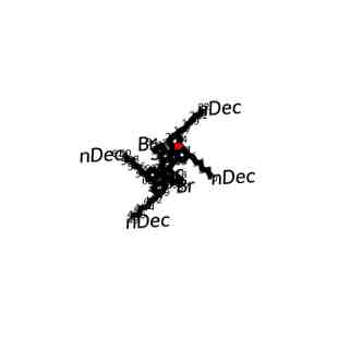 CCCCCCCCCCCCCCCCc1ccc(C2(c3ccc(CCCCCCCCCCCCCCCC)cc3)c3cc4c(cc3-c3sc(Br)cc32)C(c2ccc(CCCCCCCCCCCCCCCC)cc2)(c2ccc(CCCCCCCCCCCCCCCC)cc2)c2cc(Br)sc2-4)cc1